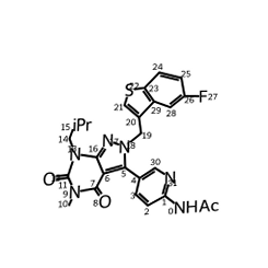 CC(=O)Nc1ccc(-c2c3c(=O)n(C)c(=O)n(CC(C)C)c3nn2Cc2csc3ccc(F)cc23)cn1